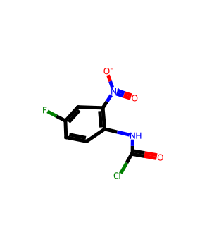 O=C(Cl)Nc1ccc(F)cc1[N+](=O)[O-]